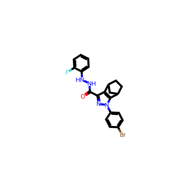 O=C(NNc1ccccc1F)c1nn(-c2ccc(Br)cc2)c2c1C1CCC2C1